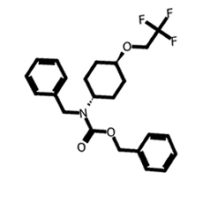 O=C(OCc1ccccc1)N(Cc1ccccc1)[C@H]1CC[C@H](OCC(F)(F)F)CC1